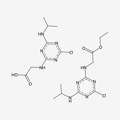 CC(C)Nc1nc(Cl)nc(NCC(=O)O)n1.CCOC(=O)CNc1nc(Cl)nc(NC(C)C)n1